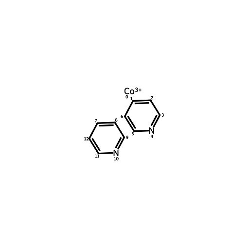 [Co+3].c1ccncc1.c1ccncc1